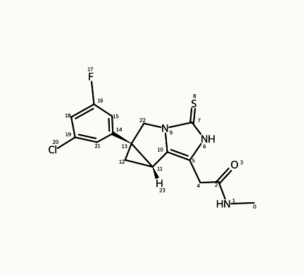 CNC(=O)Cc1[nH]c(=S)n2c1[C@@H]1C[C@]1(c1cc(F)cc(Cl)c1)C2